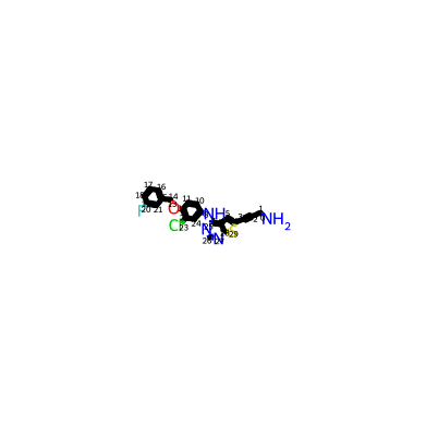 NCC#Cc1cc2c(Nc3ccc(OCc4cccc(F)c4)c(Cl)c3)ncnc2s1